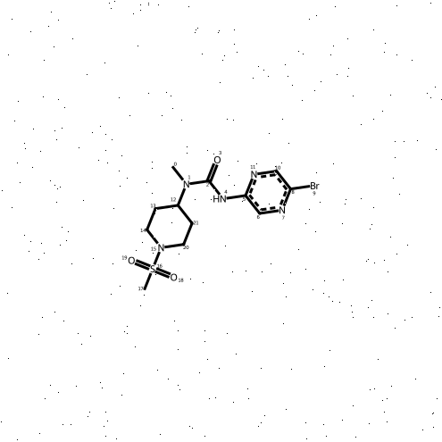 CN(C(=O)Nc1cnc(Br)cn1)C1CCN(S(C)(=O)=O)CC1